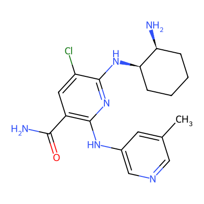 Cc1cncc(Nc2nc(N[C@@H]3CCCC[C@@H]3N)c(Cl)cc2C(N)=O)c1